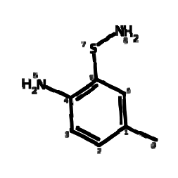 Cc1ccc(N)c(SN)c1